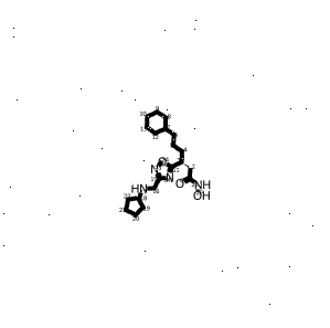 O=C(C[C@@H](CCCC1CCCCC1)c1nc(CNC2CCCC2)no1)NO